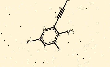 Bc1c(C)cc(C(C)C)nc1C#CC